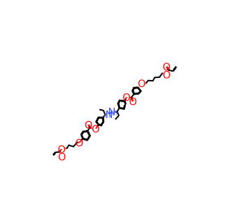 C=CC(=O)OCCCCCCOc1ccc(C(=O)Oc2ccc(/C(CC)=N/N=C(\CC)c3ccc(OC(=O)c4ccc(OCCCCOC(=O)C=C)cc4)cc3)cc2)cc1